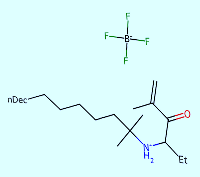 C=C(C)C(=O)C(CC)[NH2+]C(C)(C)CCCCCCCCCCCCCCC.F[B-](F)(F)F